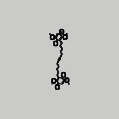 COC1=CC(=O)C(OC)=C(CCCCCC#CCCCCCC2=C(OC)C(=O)C=C(OC)C2=O)C1=O